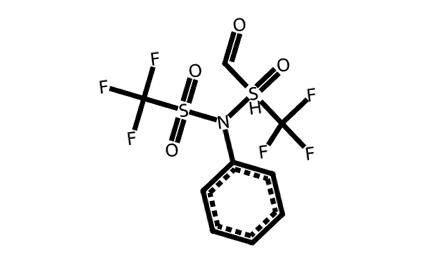 O=C[SH](=O)(N(c1ccccc1)S(=O)(=O)C(F)(F)F)C(F)(F)F